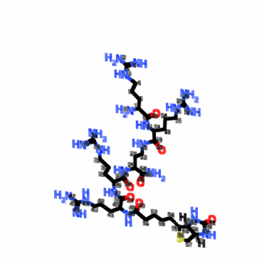 N=C(N)NCCCC(N)C(=O)NC(CCCNC(=N)N)C(=O)NCCC(NC(=O)C(CCCNC(=N)N)NC(=O)C(CCCNC(=N)N)NC(=O)CCCC[C@@H]1SC[C@@H]2NC(=O)N[C@@H]21)C(N)=O